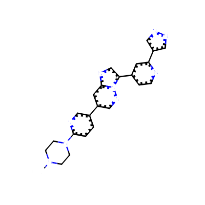 CN1CCN(c2ccc(-c3cnn4c(-c5ccnc(-c6cn[nH]c6)c5)cnc4c3)cn2)CC1